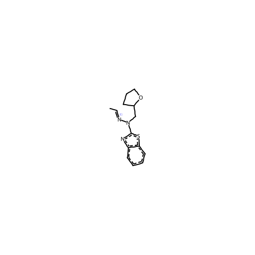 C/C=N/N(CC1CCCO1)c1nc2ccccc2s1